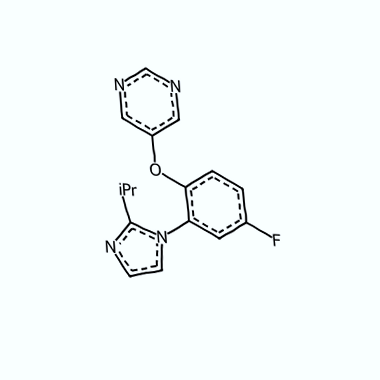 CC(C)c1nccn1-c1cc(F)ccc1Oc1cncnc1